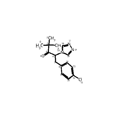 CC(C)(C)C(=O)C(Cc1ccc(Cl)cc1)n1cnnc1